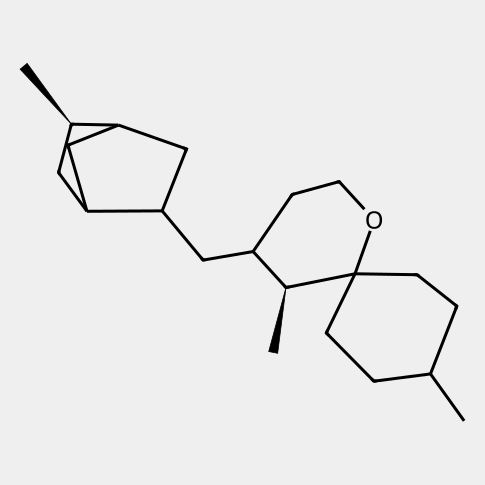 CC1CCC2(CC1)OCCC(CC1CC3CC1C[C@H]3C)[C@@H]2C